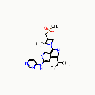 CC(C)c1cnc(N2C[C@H](CS(C)(=O)=O)[C@H]2C)c2cnc(Nc3ccncn3)cc12